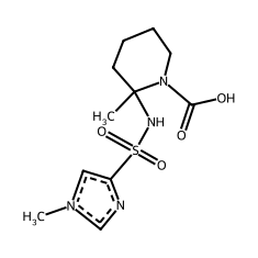 Cn1cnc(S(=O)(=O)NC2(C)CCCCN2C(=O)O)c1